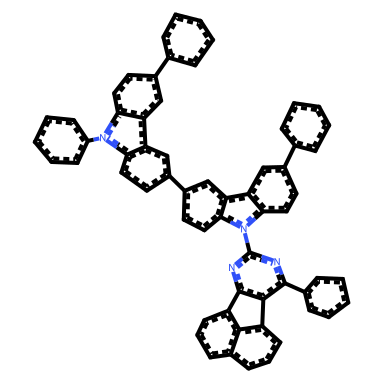 c1ccc(-c2ccc3c(c2)c2cc(-c4ccc5c(c4)c4cc(-c6ccccc6)ccc4n5-c4nc(-c5ccccc5)c5c(n4)-c4cccc6cccc-5c46)ccc2n3-c2ccccc2)cc1